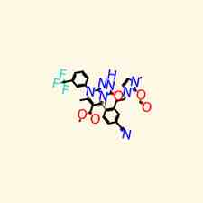 COC(=O)C1=C(C)N(c2cccc(C(F)(F)F)c2)c2n[nH]c(=O)n2[C@@H]1c1ccc(C#N)cc1CC[n+]1ccn(C)c1OC=O